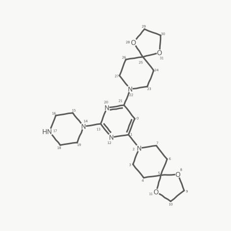 c1c(N2CCC3(CC2)OCCO3)nc(N2CCNCC2)nc1N1CCC2(CC1)OCCO2